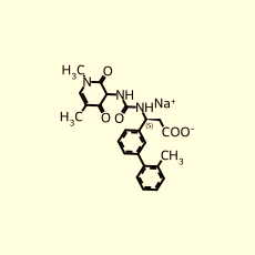 CC1=CN(C)C(=O)C(NC(=O)N[C@@H](CC(=O)[O-])c2cccc(-c3ccccc3C)c2)C1=O.[Na+]